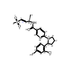 C[C@H](/C=C/S(C)(=O)=O)NC(=O)c1ccc(N2CCCC2c2ccc(F)cc2Cl)nc1